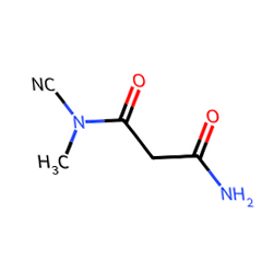 CN(C#N)C(=O)CC(N)=O